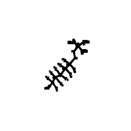 CCCC(F)(F)C(F)(F)C(F)(F)C(F)(F)C(F)(F)CC[Si](OC)(OC)OC